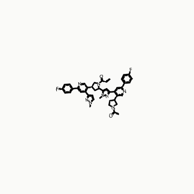 C=CC(=O)N1CC(c2cnc(-c3ccc(F)cc3)cc2-c2ccn(C)n2)CC1c1cc(-c2cc(-c3ccc(F)cc3)ncc2C2CCN(C(C)=O)C2)nn1C